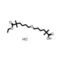 CCOC(=O)C(C)(C)CCCCOCCCCC(C)(C)C(=O)O.Cl